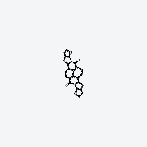 O=c1c2ccc3c4c(ccc(c24)c2nc4ccsc4n12)c(=O)n1c3nc2ccsc21